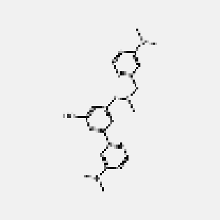 CN(Cc1cc(N(C)C)ccn1)Cc1cc(O)cc(-c2cc(N(C)C)ccn2)n1